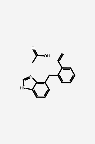 C=Cc1ccccc1Cc1cccc2[nH]cnc12.CC(=O)O